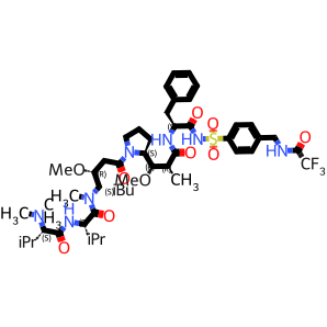 CC[C@H](C)C([C@@H](CC(=O)N1CCC[C@H]1[C@H](OC)[C@@H](C)C(=O)N[C@@H](Cc1ccccc1)C(=O)NS(=O)(=O)c1ccc(CNC(=O)C(F)(F)F)cc1)OC)N(C)C(=O)[C@@H](NC(=O)[C@H](C(C)C)N(C)C)C(C)C